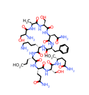 C[C@H](NC(=O)[C@@H](N)CO)C(=O)N[C@@H](CO)C(=O)N[C@@H](CC(N)=O)C(=O)N[C@@H](Cc1ccccc1)C(=O)N[C@@H](CCCCN)C(=O)N[C@@H](CCC(=O)O)C(=O)N[C@@H](CCC(N)=O)C(=O)N[C@@H](CO)C(=O)N[C@@H](CCC(N)=O)C(=O)O